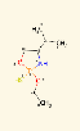 CCO[P]1(S)NC(C(C)C)CO1